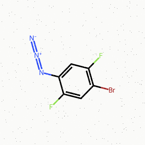 [N-]=[N+]=Nc1cc(F)c(Br)cc1F